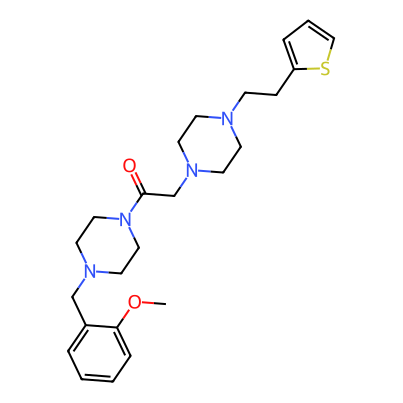 COc1ccccc1CN1CCN(C(=O)CN2CCN(CCc3cccs3)CC2)CC1